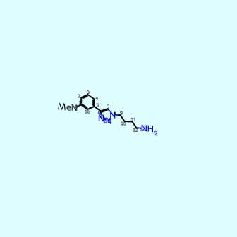 CNc1cccc(-c2cn(CCCCN)nn2)c1